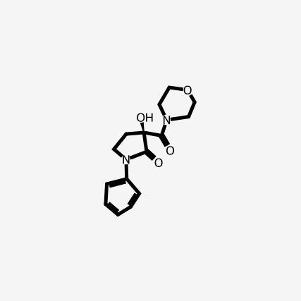 O=C(N1CCOCC1)[C@@]1(O)CCN(c2ccccc2)C1=O